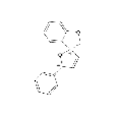 C1=C[C@@]2(COc3ccccc32)O[C@H]1c1ccccc1